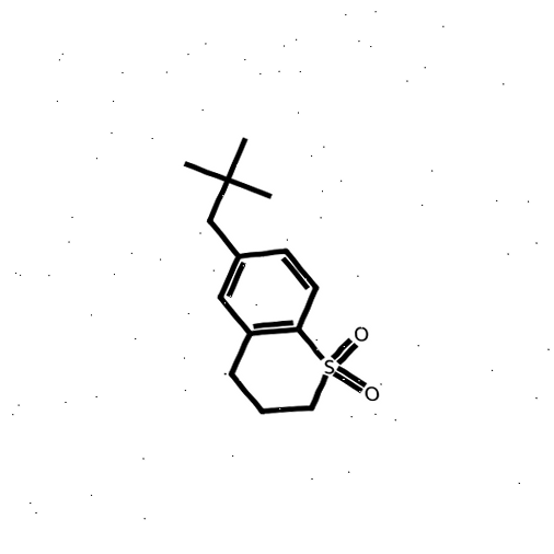 CC(C)(C)Cc1ccc2c(c1)[CH]CCS2(=O)=O